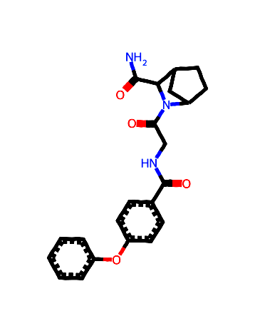 NC(=O)C1C2CCC(C2)N1C(=O)CNC(=O)c1ccc(Oc2ccccc2)cc1